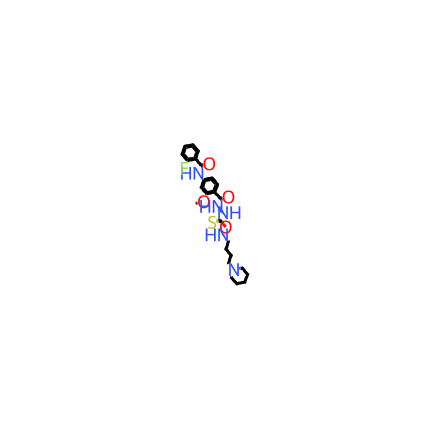 COc1cc(NC(=O)c2ccccc2F)ccc1C(=O)NNC(=S)ONCCCCN1CCCCC1